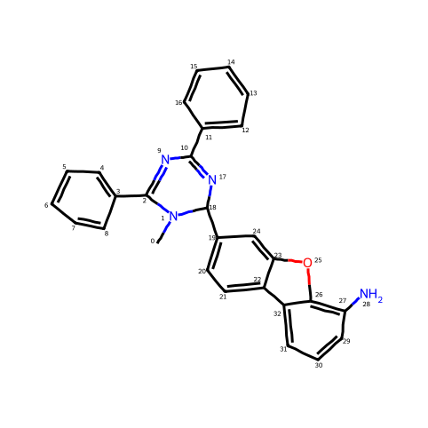 CN1C(c2ccccc2)=NC(c2ccccc2)=NC1c1ccc2c(c1)oc1c(N)cccc12